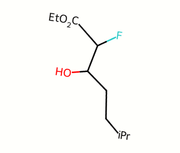 CCOC(=O)C(F)C(O)CCC(C)C